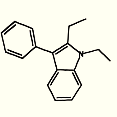 CCc1c(-c2ccccc2)c2ccccc2n1CC